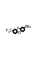 CC(C)(C)c1ccc(Oc2ccc(C(F)(F)F)cc2)c(F)c1